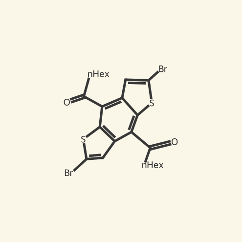 CCCCCCC(=O)c1c2cc(Br)sc2c(C(=O)CCCCCC)c2cc(Br)sc12